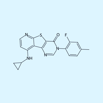 Cc1ccc(-n2cnc3c(sc4nccc(NC5CC5)c43)c2=O)c(F)c1